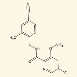 COc1cc(Cl)cnc1C(=O)NCc1ccc(C#N)cc1C